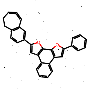 C1=CCCc2ccc(-c3cc4c5ccccc5c5cc(-c6ccccc6)oc5c4o3)cc2C=1